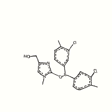 Cc1ccc(B(Oc2nc(CO)cn2C)c2ccc(C)c(Cl)c2)cc1Cl